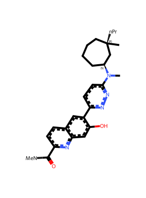 CCC[C@]1(C)CCCC[C@H](N(C)c2ccc(-c3cc4ccc(C(=O)NC)nc4cc3O)nn2)C1